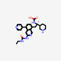 [CH2][C@](Cc1ccc(-c2ccncc2)c2cc(NC(=O)NCC)ncc12)(NC(=O)O)C1CCCNC1